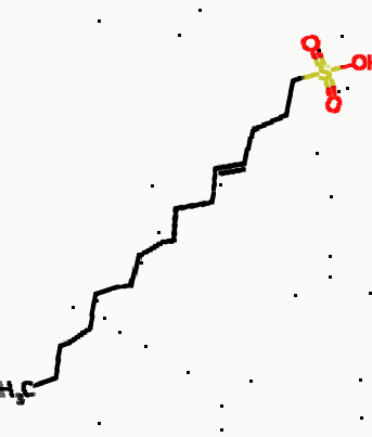 CCCCCCCCCC/C=C/CCCS(=O)(=O)O